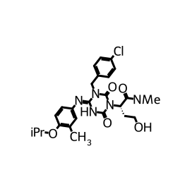 CNC(=O)[C@H](CCO)n1c(=O)[nH]/c(=N\c2ccc(OC(C)C)c(C)c2)n(Cc2ccc(Cl)cc2)c1=O